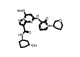 CNc1cc(Nc2cccn([C@@H]3CCCOC3)c2=O)nc2c(C(=O)N[C@@H]3CCC[C@@H](O)C3)cnn12